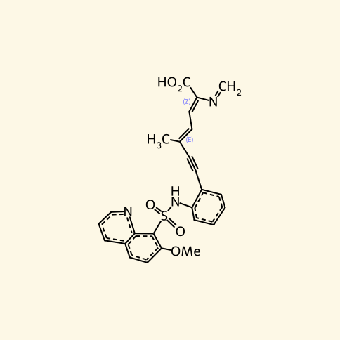 C=N/C(=C\C=C(/C)C#Cc1ccccc1NS(=O)(=O)c1c(OC)ccc2cccnc12)C(=O)O